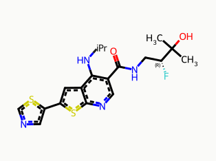 CC(C)Nc1c(C(=O)NC[C@@H](F)C(C)(C)O)cnc2sc(-c3cncs3)cc12